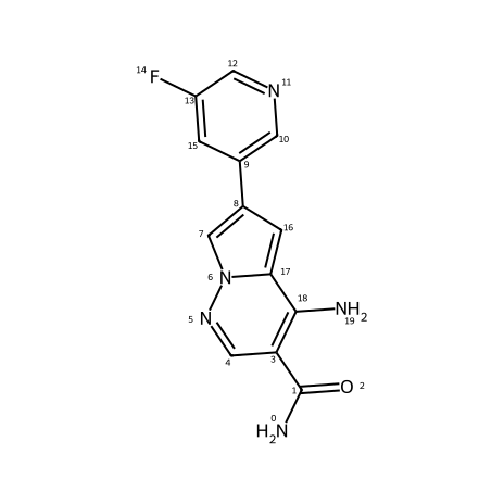 NC(=O)c1cnn2cc(-c3cncc(F)c3)cc2c1N